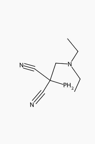 CCN(CC)CC(P)(C#N)C#N